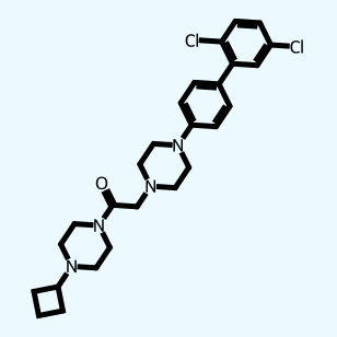 O=C(CN1CCN(c2ccc(-c3cc(Cl)ccc3Cl)cc2)CC1)N1CCN(C2CCC2)CC1